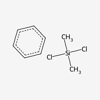 C[Si](C)(Cl)Cl.c1ccccc1